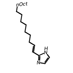 CCCCCCCCCCCCCCCC=Cc1ncc[nH]1